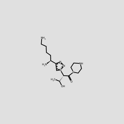 CC(O)[C@@H](C(=O)N1CCNCC1)n1cc([C@@H](N)CCCCN)nn1